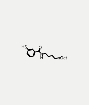 CCCCCCCCCCCCNC(=O)c1cccc(S)c1